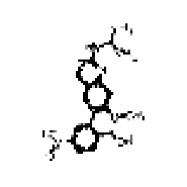 COc1cc2nc(NC(C)C)ncc2cc1-c1cc([N+](=O)[O-])ccc1CO